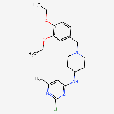 CCOc1ccc(CN2CCC(Nc3cc(C)nc(Cl)n3)CC2)cc1OCC